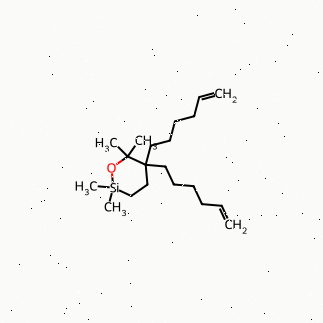 C=CCCCCC1(CCCCC=C)CC[Si](C)(C)OC1(C)C